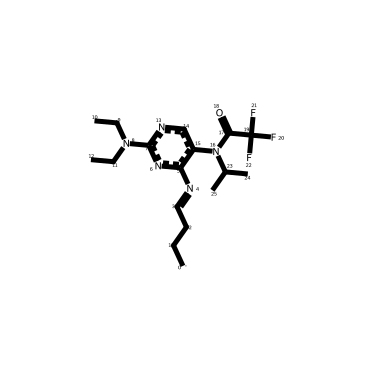 [CH2]CCC=Nc1nc(N(CC)CC)ncc1N(C(=O)C(F)(F)F)C(C)C